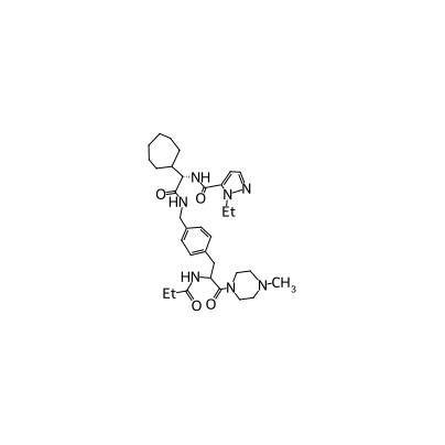 CCC(=O)NC(Cc1ccc(CNC(=O)[C@@H](NC(=O)c2ccnn2CC)C2CCCCCC2)cc1)C(=O)N1CCN(C)CC1